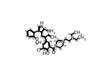 C=C/C(=C\c1c(-c2ccccc2OC)c[nH]c1N)c1cc(Cl)c(O)c(C(=O)N2CCN(CCN(CC)CC)CC2)c1